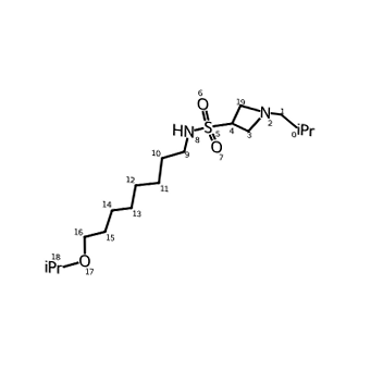 CC(C)CN1CC(S(=O)(=O)NCCCCCCCCOC(C)C)C1